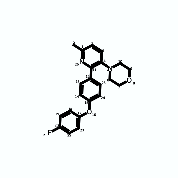 Cc1ccc(N2CCOCC2)c(-c2ccc(Oc3ccc(F)cc3)cc2)n1